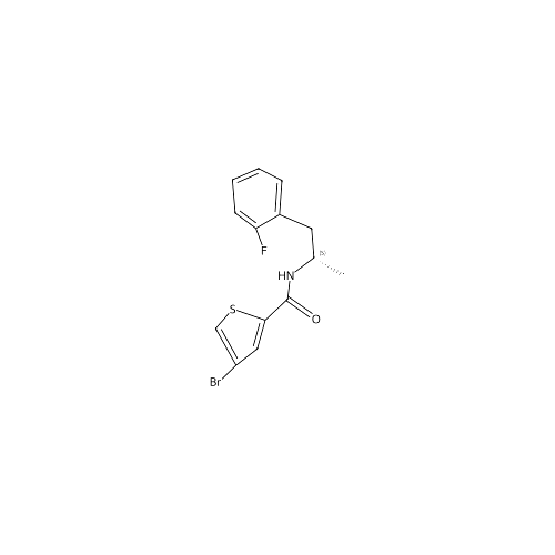 [CH2][C@@H](Cc1ccccc1F)NC(=O)c1cc(Br)cs1